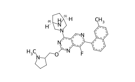 Cc1ccc2cccc(-c3ncc4c(N5C[C@H]6CC[C@@H](C5)N6)nc(OCC5CCCN5C)nc4c3F)c2c1